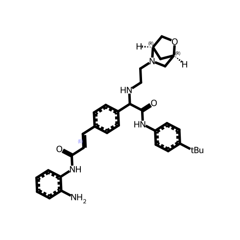 CC(C)(C)c1ccc(NC(=O)C(NCCN2C[C@H]3C[C@@H]2CO3)c2ccc(/C=C/C(=O)Nc3ccccc3N)cc2)cc1